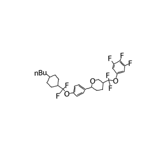 CCCCC1CCC(C(F)(F)Oc2ccc(C3CCC(C(F)(F)Oc4cc(F)c(F)c(F)c4)CO3)cc2)CC1